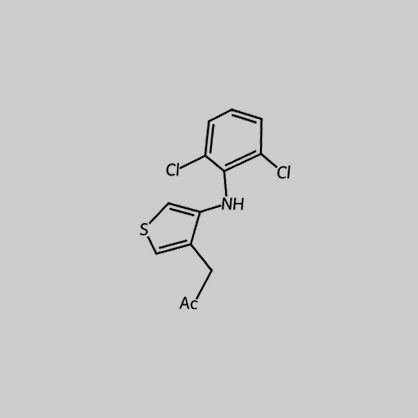 CC(=O)Cc1cscc1Nc1c(Cl)cccc1Cl